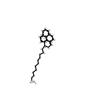 CCCCCCCCCCCCC1CC=c2ccc3cccc4ccc1c2c43